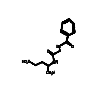 O=C(O)CCC(NC(=O)CNC(=O)c1ccccc1)C(=O)O